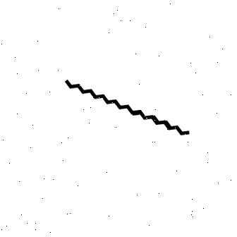 CCCC=CC=CCC=CCCCCCCCCCCC